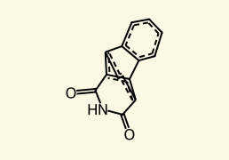 O=C1NC(=O)c2c3ccc1c2-c1ccccc1-3